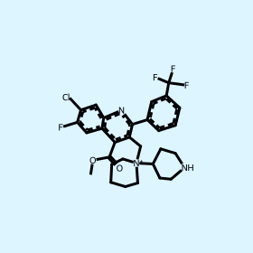 COC(=O)c1c(C[N+]2(C3CCNCC3)CCCCC2)c(-c2cccc(C(F)(F)F)c2)nc2cc(Cl)c(F)cc12